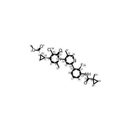 COC(=O)[C@H]1C[C@@H]1c1cc(C)n(-c2cc(-c3cccc(NC(=O)C4(C)CC4)c3F)ncc2C)c(=O)c1Cl